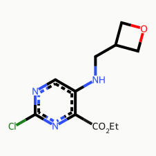 CCOC(=O)c1nc(Cl)ncc1NCC1COC1